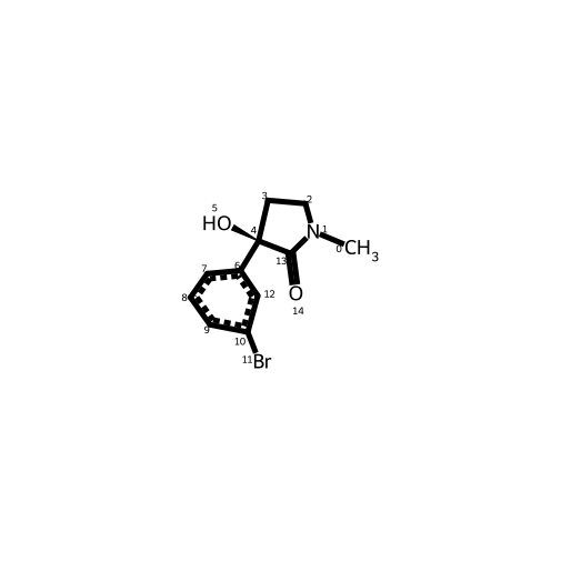 CN1CC[C@@](O)(c2cccc(Br)c2)C1=O